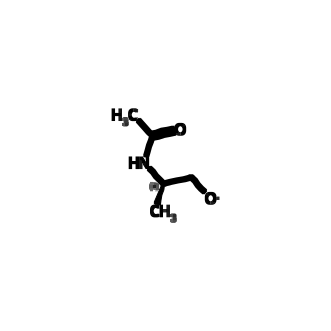 CC(=O)N[C@H](C)C[O]